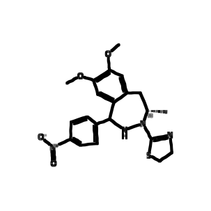 COc1cc2c(cc1OC)C(c1ccc([N+](=O)[O-])cc1)NN(C1=NCCS1)[C@@H](C)C2